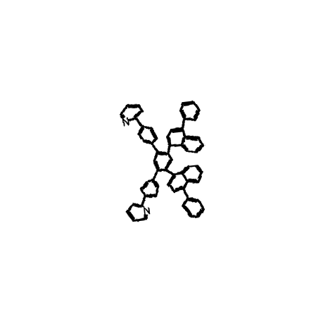 c1ccc(-c2ccc(-c3cc(-c4ccc(-c5ccccc5)c5ccccc45)c(-c4ccc(-c5ccccn5)cc4)cc3-c3ccc(-c4ccccn4)cc3)c3ccccc23)cc1